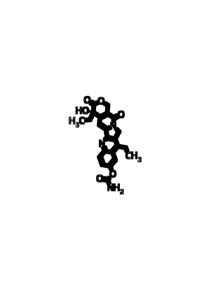 CCc1c2c(nc3ccc(OC(N)=O)cc13)-c1cc3c(c(=O)n1C2)COC(=O)[C@]3(O)CC